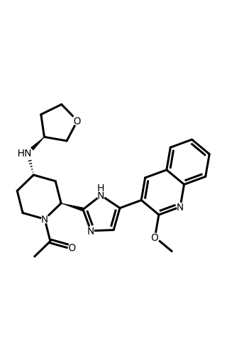 COc1nc2ccccc2cc1-c1cnc([C@@H]2C[C@@H](N[C@H]3CCOC3)CCN2C(C)=O)[nH]1